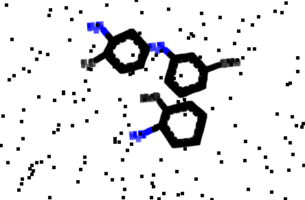 COc1cccc(N)c1.COc1ccccc1N.Nc1ccccc1C(F)(F)F